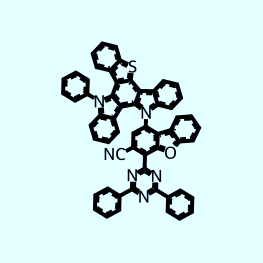 N#Cc1cc(-n2c3ccccc3c3c4sc5ccccc5c4c4c(c5ccccc5n4-c4ccccc4)c32)c2c(oc3ccccc32)c1-c1nc(-c2ccccc2)nc(-c2ccccc2)n1